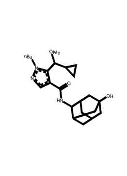 CCCCn1ncc(C(=O)NC2C3CC4CC2CC(O)(C4)C3)c1C(OC)C1CC1